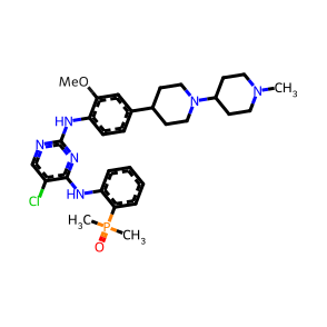 COc1cc(C2CCN(C3CCN(C)CC3)CC2)ccc1Nc1ncc(Cl)c(Nc2ccccc2P(C)(C)=O)n1